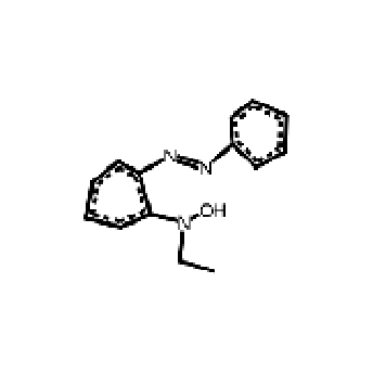 CCN(O)c1ccccc1N=Nc1ccccc1